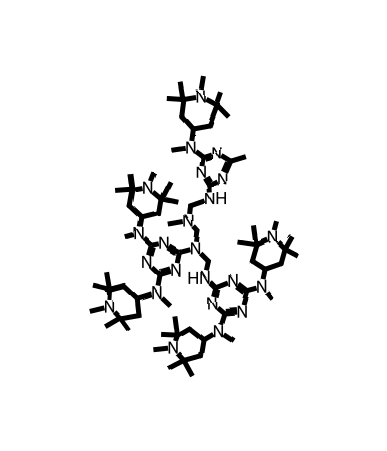 Cc1nc(NCN(C)CN(CNc2nc(N(C)C3CC(C)(C)N(C)C(C)(C)C3)nc(N(C)C3CC(C)(C)N(C)C(C)(C)C3)n2)c2nc(N(C)C3CC(C)(C)N(C)C(C)(C)C3)nc(N(C)C3CC(C)(C)N(C)C(C)(C)C3)n2)nc(N(C)C2CC(C)(C)N(C)C(C)(C)C2)n1